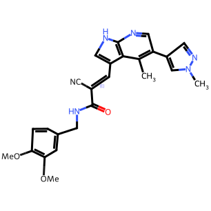 COc1ccc(CNC(=O)/C(C#N)=C/c2c[nH]c3ncc(-c4cnn(C)c4)c(C)c23)cc1OC